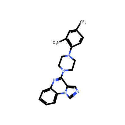 O=[N+]([O-])c1cc(C(F)(F)F)ccc1N1CCN(c2nc3ccccc3n3cncc23)CC1